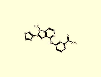 CC(=O)c1cccc(Nc2nccc3c2cc(-c2ccsc2)n3C)c1